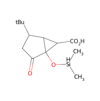 C[SiH](C)OC12C(=O)CC(C(C)(C)C)C1C2C(=O)O